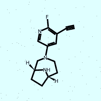 C#Cc1cc(N2CC[C@@H]3CC[C@H](C2)N3)cnc1F